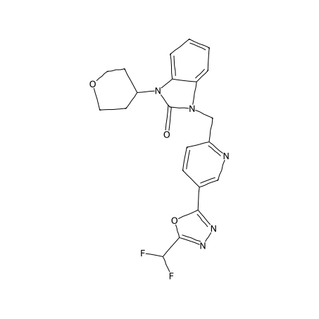 O=c1n(Cc2ccc(-c3nnc(C(F)F)o3)cn2)c2ccccc2n1C1CCOCC1